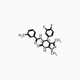 Cc1cccc(C(=O)N[C@@H]2C(=O)Nc3c(c(C)nn3C)[C@@H]2c2ccc(F)c(F)c2)c1